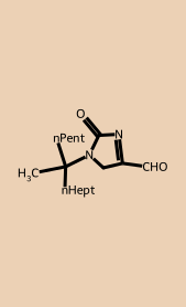 CCCCCCCC(C)(CCCCC)N1CC(C=O)=NC1=O